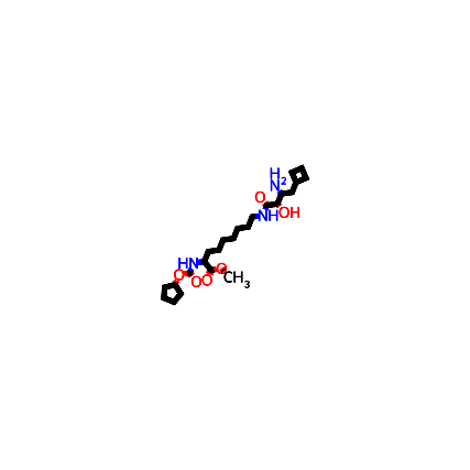 COC(=O)C(CCCCCCCNC(=O)C(O)C(N)CC1CCC1)NC(=O)OC1CCCC1